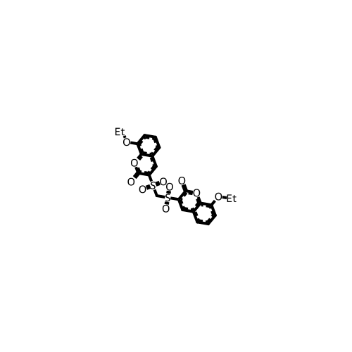 CCOc1cccc2cc(S(=O)(=O)CS(=O)(=O)c3cc4cccc(OCC)c4oc3=O)c(=O)oc12